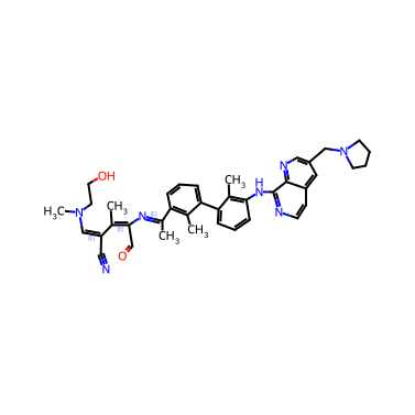 C\C(=N/C(C=O)=C(C)/C(C#N)=C\N(C)CCO)c1cccc(-c2cccc(Nc3nccc4cc(CN5CCCC5)cnc34)c2C)c1C